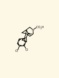 O=C(O)N1CCC2(c3ccc(Cl)c(Cl)c3)CC2(C(=O)C2CC2)C1